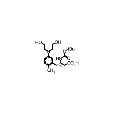 Cc1ccc(N(CCO)CCO)cc1C[C@@H](CC(=O)O)NC(=O)OC(C)(C)C